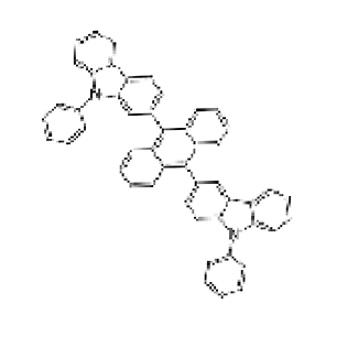 c1ccc(-n2c3ccccc3c3cc(-c4c5ccccc5c(-c5ccc6c7ccccc7n(-c7ccccc7)c6c5)c5ccccc45)ccc32)cc1